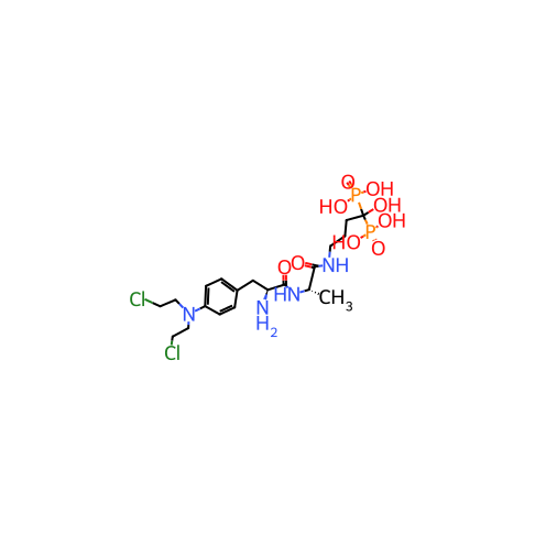 C[C@H](NC(=O)[C@@H](N)Cc1ccc(N(CCCl)CCCl)cc1)C(=O)NCCCC(O)(P(=O)(O)O)P(=O)(O)O